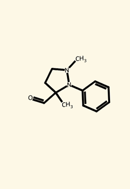 CN1CCC(C)(C=O)N1c1ccccc1